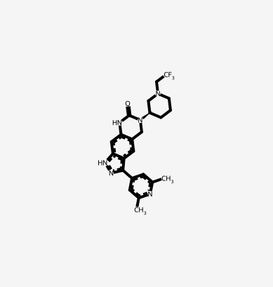 Cc1cc(-c2n[nH]c3cc4c(cc23)CN([C@@H]2CCCN(CC(F)(F)F)C2)C(=O)N4)cc(C)n1